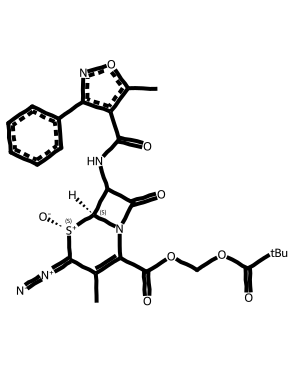 CC1=C(C(=O)OCOC(=O)C(C)(C)C)N2C(=O)C(NC(=O)c3c(-c4ccccc4)noc3C)[C@@H]2[S@@+]([O-])C1=[N+]=[N-]